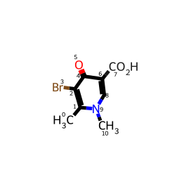 Cc1c(Br)c(=O)c(C(=O)O)cn1C